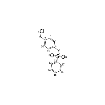 O=S(=O)(Cc1ccc(CCl)cc1)c1ccccc1